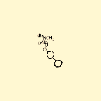 CN(/[N+]([O-])=N/O[C@H]1CC[C@@H](c2ccccc2)CC1)C(C)(C)C